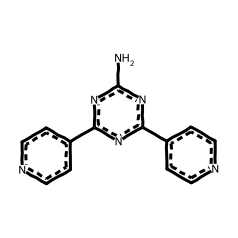 Nc1nc(-c2ccncc2)nc(-c2ccncc2)n1